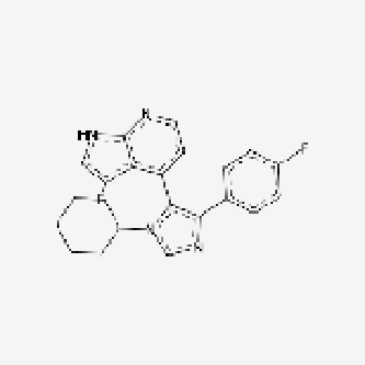 Fc1ccc(-c2ncn(C3CCCCC3)c2-c2ccnc3[nH]cc(F)c23)cc1